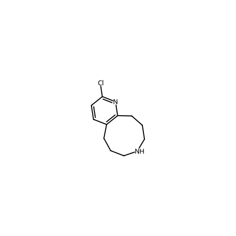 Clc1ccc2c(n1)CCCNCCC2